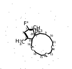 CC1=CC(F)=C(C)[C@@H]2CCCCCCCCCCCC12